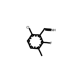 Cc1ccc(Cl)c(C=N)c1F